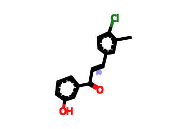 Cc1cc(/C=C/C(=O)c2cccc(O)c2)ccc1Cl